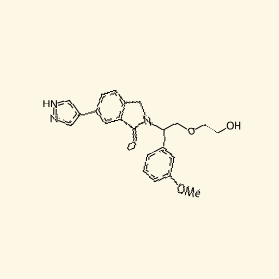 COc1cccc(C(COCCO)N2Cc3ccc(-c4cn[nH]c4)cc3C2=O)c1